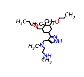 CCCOCC1CC(c2n[nH]cc2CN(C)CCNC)CC(COCCC)C1(C)C